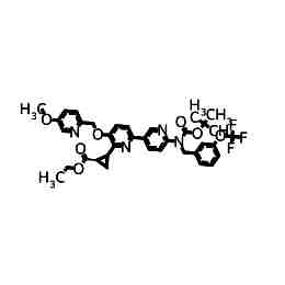 CCOC(=O)[C@@H]1CC1c1nc(-c2ccc(N(Cc3cccc(OC(F)(F)F)c3)C(=O)OC(C)(C)C)nc2)ccc1OCc1ccc(OC)cn1